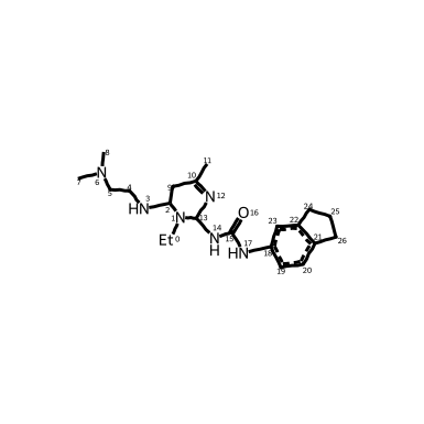 CCN1C(NCCN(C)C)CC(C)=NC1NC(=O)Nc1ccc2c(c1)CCC2